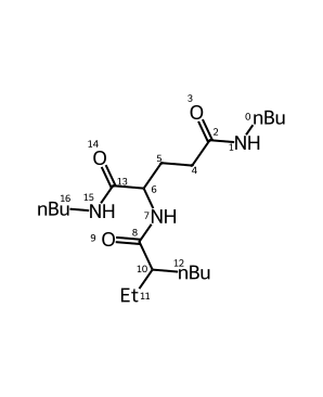 CCCCNC(=O)CCC(NC(=O)C(CC)CCCC)C(=O)NCCCC